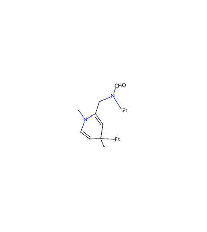 CCC1(C)C=CN(C)C(CN(C=O)C(C)C)=C1